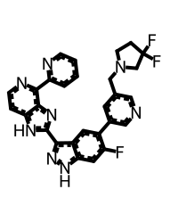 Fc1cc2[nH]nc(-c3nc4c(-c5ccccn5)nccc4[nH]3)c2cc1-c1cncc(CN2CCC(F)(F)C2)c1